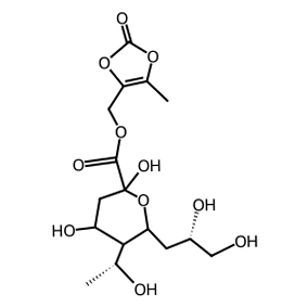 Cc1oc(=O)oc1COC(=O)C1(O)CC(O)C([C@@H](C)O)C(C[C@H](O)CO)O1